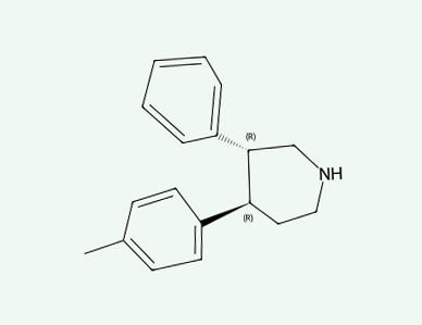 Cc1ccc([C@@H]2CCNC[C@H]2c2ccccc2)cc1